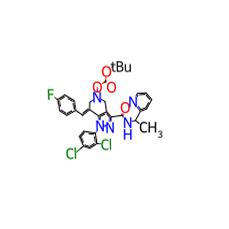 CC(NC(=O)c1nn(-c2ccc(Cl)cc2Cl)c2c1CN(OC(=O)OC(C)(C)C)C/C2=C\c1ccc(F)cc1)c1ccccn1